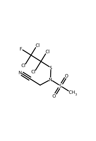 CS(=O)(=O)N(CC#N)SC(Cl)(Cl)C(F)(Cl)Cl